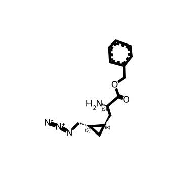 [N-]=[N+]=NC[C@H]1C[C@@H]1C[C@H](N)C(=O)OCc1ccccc1